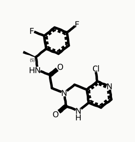 C[C@H](NC(=O)CN1Cc2c(ccnc2Cl)NC1=O)c1ccc(F)cc1F